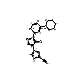 N#Cc1cn(-c2c[nH]n(C3C=C(N4CCCCC4)N=CN3)c2=O)cn1